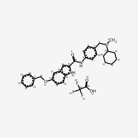 CN(Cc1ccc(NC(=O)c2cc3cc(OCc4ccccc4)ccc3[nH]2)cc1)C1CCCCC1.O=C(O)C(F)(F)F